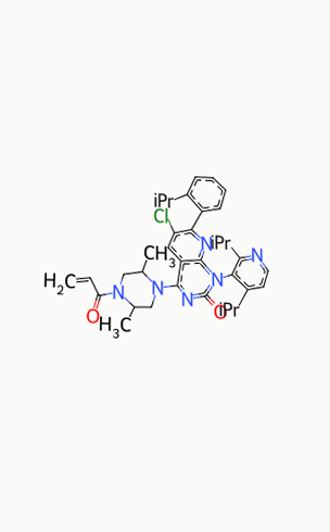 C=CC(=O)N1CC(C)N(c2nc(=O)n(-c3c(C(C)C)ccnc3C(C)C)c3nc(-c4ccccc4C(C)C)c(Cl)cc23)CC1C